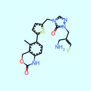 Cc1c(-c2ccc(Cn3cnn(C/C(=C/F)CN)c3=O)s2)ccc2c1COC(=O)N2